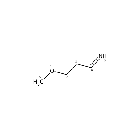 COCC[C]=N